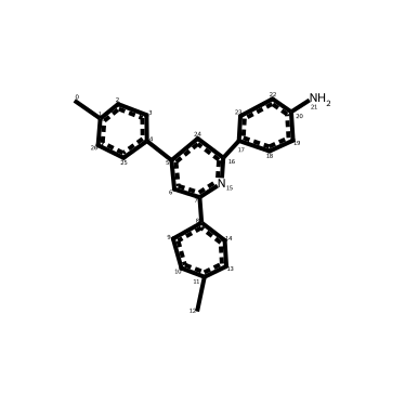 Cc1ccc(-c2cc(-c3ccc(C)cc3)nc(-c3ccc(N)cc3)c2)cc1